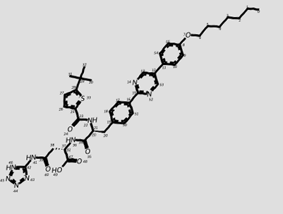 CCCCCCCOc1ccc(-c2cnc(-c3ccc(C[C@H](NC(=O)c4ccc(C(C)(C)C)s4)C(=O)N[C@@H](CC(=O)Nc4nnn[nH]4)C(=O)O)cc3)nc2)cc1